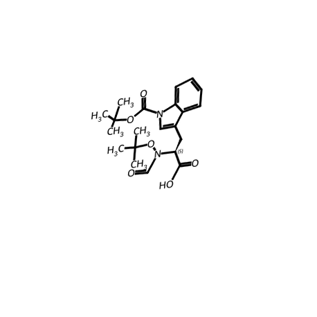 CC(C)(C)OC(=O)n1cc(C[C@@H](C(=O)O)N(C=O)OC(C)(C)C)c2ccccc21